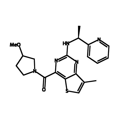 COC1CCN(C(=O)c2nc(N[C@@H](C)c3ccccn3)nc3c(C)csc23)C1